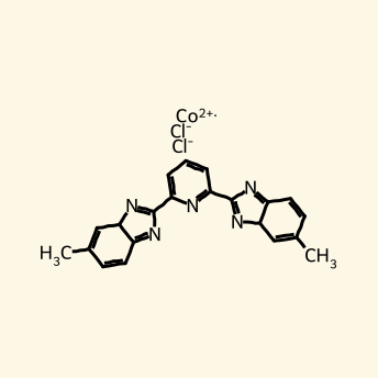 CC1=CC2N=C(c3cccc(C4=NC5C=C(C)C=CC5=N4)n3)N=C2C=C1.[Cl-].[Cl-].[Co+2]